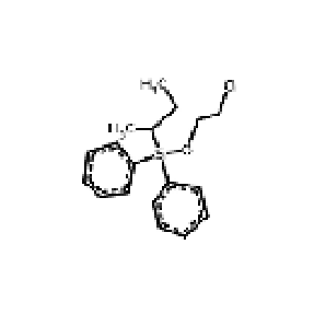 CCC(C)[Si](OCCCl)(c1ccccc1)c1ccccc1